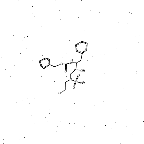 CCCS(=O)(=O)N(CCC(C)C)C[C@@H](O)[C@H](Cc1ccccc1)NC(=O)OCc1ccccc1